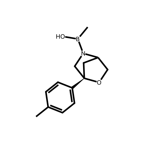 CB(O)N1C[C@]2(c3ccc(C)cc3)CC1CO2